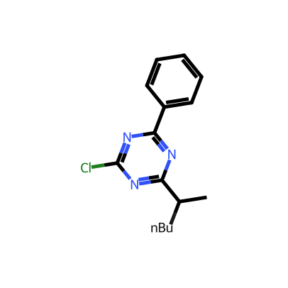 CCCCC(C)c1nc(Cl)nc(-c2ccccc2)n1